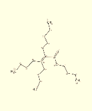 CCCCCC(C(=O)OCCCC)=C(CCCC)CCCC